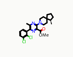 COC(=O)c1nc(-c2cccc(Cl)c2Cl)c(C)nc1N1CCC2(CCC[C@H]2C)CC1